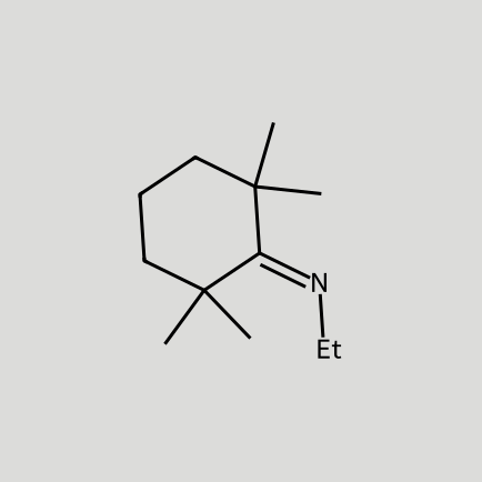 CCN=C1C(C)(C)CCCC1(C)C